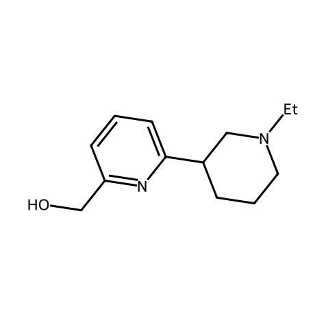 CCN1CCCC(c2cccc(CO)n2)C1